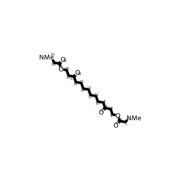 CNCC(=O)OCCC(=O)CCCCCCCCC(=O)CCOC(=O)CNC